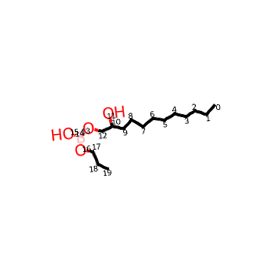 CCCCCCCCCCC(O)COB(O)OCCC